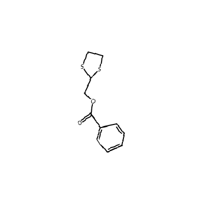 O=C(OCC1SCCS1)c1ccccc1